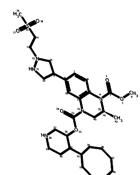 COC(=O)N1c2ccc(C3CNN(CCS(C)(=O)=O)C3)cc2N(C(=O)OC2CNCCC2C2CCCCCCC2)C[C@@H]1C